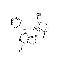 Nc1ncnc2c1ncn2[C@@H]1O[C@@]2(CO)CO[C@H]1C2COCc1ccccc1